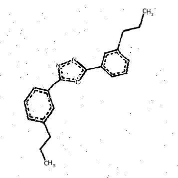 CCCc1cccc(-c2nnc(-c3cccc(CCC)c3)o2)c1